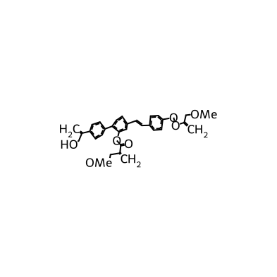 C=C(COC)OOc1ccc(C=Cc2ccc(-c3ccc(C(=C)CO)cc3)c(OC(=O)C(=C)COC)c2)cc1